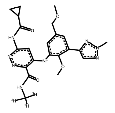 [2H]C([2H])([2H])NC(=O)c1nnc(NC(=O)C2CC2)cc1Nc1cc(COC)cc(-c2cnn(C)n2)c1OC